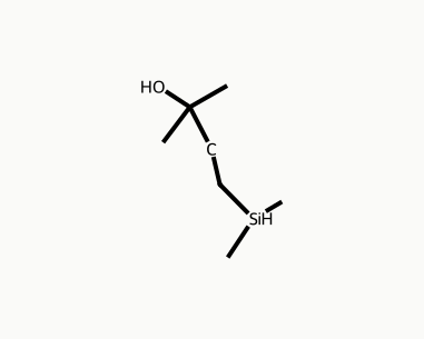 C[SiH](C)CCC(C)(C)O